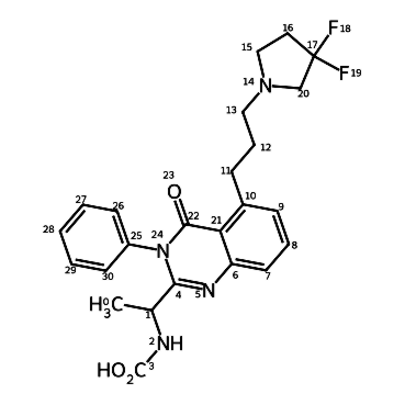 CC(NC(=O)O)c1nc2cccc(CCCN3CCC(F)(F)C3)c2c(=O)n1-c1ccccc1